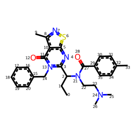 CCC(c1nc2snc(C)c2c(=O)n1Cc1ccccc1)N(CCN(C)C)C(=O)c1ccc(C)cc1